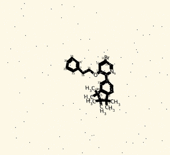 CC1(C)c2ccc(-c3ncc(Br)cc3OCCc3ccccc3)cc2C(C)(C)C1(C)C